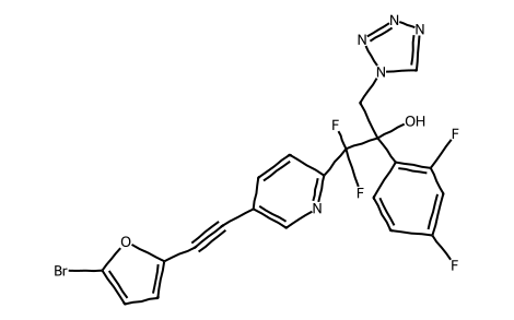 OC(Cn1cnnn1)(c1ccc(F)cc1F)C(F)(F)c1ccc(C#Cc2ccc(Br)o2)cn1